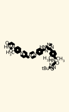 Cc1cc(-c2ncnc3[nH]c(-c4ccc(N5CCN(CC6CCN(c7ccc(N8CCC(=O)NC8=O)c(C)c7)CC6)CC5)cc4)nc23)ccc1[C@@H](C)NC(=O)c1noc(C(C)(C)C)n1